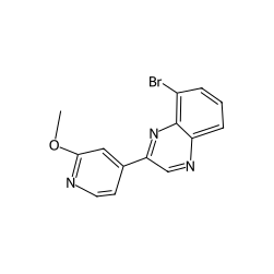 COc1cc(-c2cnc3cccc(Br)c3n2)ccn1